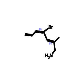 C=C/C=C(Br)\C=C(/C)CN